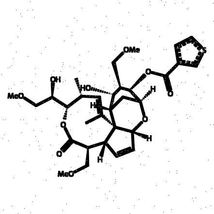 COC[C@@H]1[C@@H](O)[C@@H]2C[C@H](O[C@@H]3C=C[C@@H]4[C@@H](COC)C(=O)O[C@H]([C@H](O)COC)[C@H](C)/C=C(\C)[C@@]432)[C@@H]1OC(=O)c1ccsc1